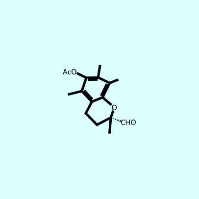 CC(=O)Oc1c(C)c(C)c2c(c1C)CC[C@@](C)(C=O)O2